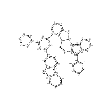 C1=CC2c3c(cccc3-c3nc(-c4ccccc4)nc(-c4ccc5c(c4)oc4ccccc45)n3)OC2c2c1n(-c1ccccc1)c1ccccc21